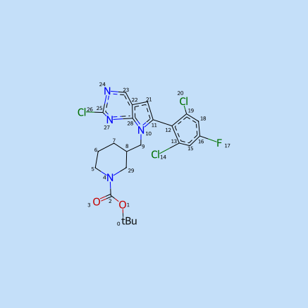 CC(C)(C)OC(=O)N1CCCC(Cn2c(-c3c(Cl)cc(F)cc3Cl)cc3cnc(Cl)nc32)C1